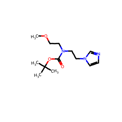 COCCN(CCn1ccnc1)C(=O)OC(C)(C)C